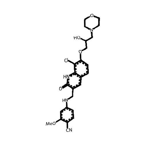 COc1cc(NCc2cc3ccc(OCC(O)CN4CCOCC4)c(Cl)c3[nH]c2=O)ccc1C#N